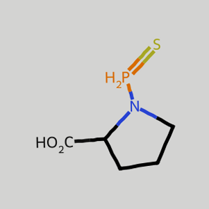 O=C(O)C1CCCN1[PH2]=S